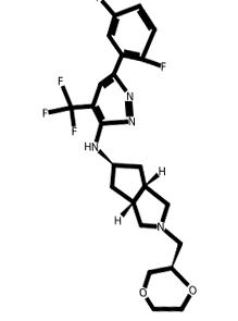 Fc1ccc(F)c(-c2cc(C(F)(F)F)c(N[C@H]3C[C@@H]4CN(C[C@@H]5COCCO5)C[C@@H]4C3)nn2)c1